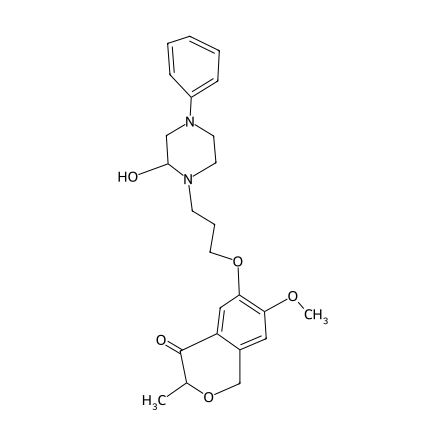 COc1cc2c(cc1OCCCN1CCN(c3ccccc3)CC1O)C(=O)C(C)OC2